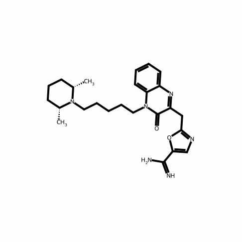 C[C@@H]1CCC[C@H](C)N1CCCCCn1c(=O)c(Cc2ncc(C(=N)N)o2)nc2ccccc21